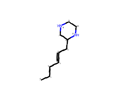 [CH2]CCC=CCC1CNCCN1